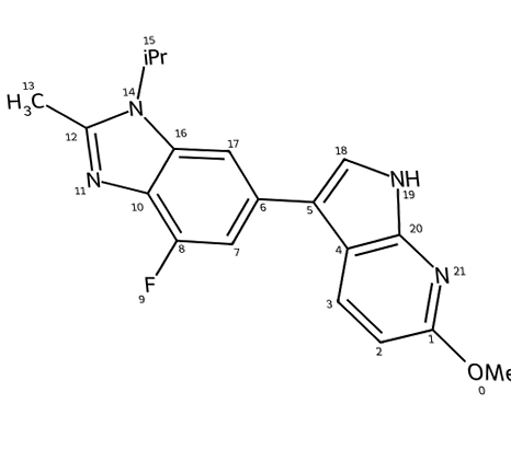 COc1ccc2c(-c3cc(F)c4nc(C)n(C(C)C)c4c3)c[nH]c2n1